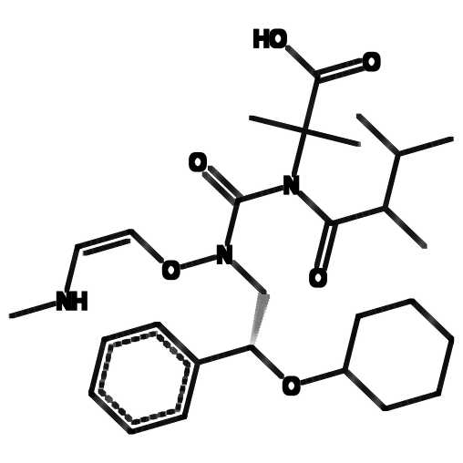 CN/C=C\ON(C[C@H](OC1CCCCC1)c1ccccc1)C(=O)N(C(=O)C(C)C(C)C)C(C)(C)C(=O)O